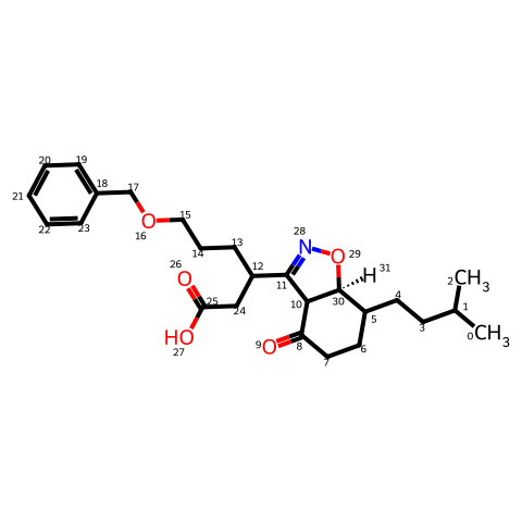 CC(C)CCC1CCC(=O)C2C(C(CCCOCc3ccccc3)CC(=O)O)=NO[C@@H]12